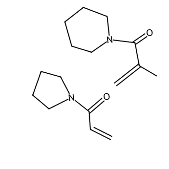 C=C(C)C(=O)N1CCCCC1.C=CC(=O)N1CCCC1